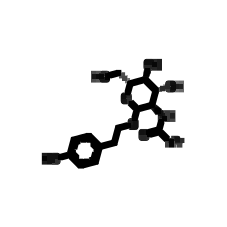 CCCC(=O)N[C@H]1C(OCCc2ccc(O)cc2)O[C@H](CO)[C@@H](O)[C@@H]1O